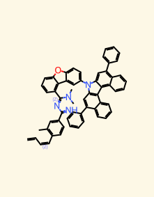 C=C/C=C\c1ccc(C(=N)/N=C(/c2cccc3oc4ccc(-n5c6cc(-c7ccccc7)c7ccccc7c6c6c7ccccc7c(-c7ccccc7)cc65)cc4c23)N(C)C)cc1C